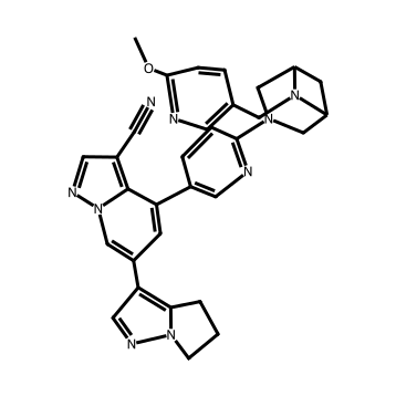 COc1ccc(CN2C3CC2CN(c2ccc(-c4cc(-c5cnn6c5CCC6)cn5ncc(C#N)c45)cn2)C3)cn1